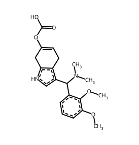 COc1cccc(C(c2c[nH]c3c2CC=C(OC(=O)O)C3)N(C)C)c1OC